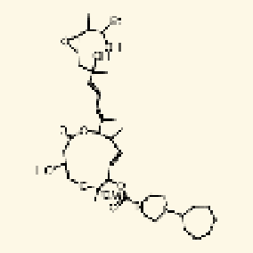 CCC(O)C(C)C1OC1CC(C)(O)/C=C/C=C(\C)C1OC(=O)CC(O)CCC(C)(OC)C(OC(=O)N2CCN(C3CCCCCC3)CC2)/C=C/C1C